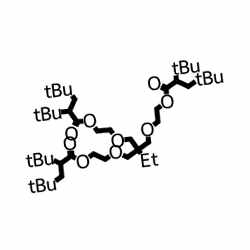 CCC(COCCOC(=O)C(CC(C)(C)C)C(C)(C)C)(COCCOC(=O)C(CC(C)(C)C)C(C)(C)C)COCCOC(=O)C(CC(C)(C)C)C(C)(C)C